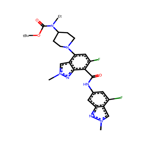 CCN(C(=O)OC(C)(C)C)C1CCN(c2cc(F)c(C(=O)Nc3cc(F)c4cn(C)nc4c3)c3nn(C)cc23)CC1